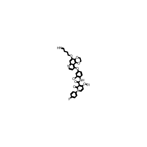 CCOc1ccn(-c2ccc(F)cc2)c(=O)c1C(=O)Nc1ccc(Oc2ccnc3cc(OCCCC=N)c4c(c23)OCCO4)cc1Cl